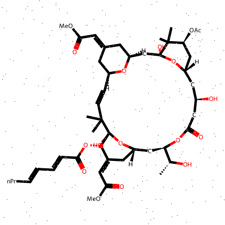 CCC/C=C/C=C/C(=O)O[C@H]1/C(=C/C(=O)OC)C[C@H]2C[C@H]([C@@H](C)O)OC(=O)C[C@H](O)C[C@H]3C[C@H](OC(C)=O)C(C)(C)[C@](O)(C[C@@H]4C/C(=C/C(=O)OC)C[C@H](/C=C/C(C)(C)[C@]1(O)O2)O4)O3